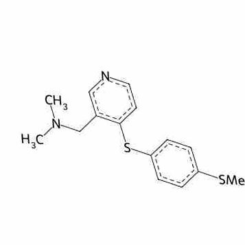 CSc1ccc(Sc2ccncc2CN(C)C)cc1